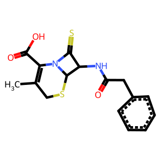 CC1=C(C(=O)O)N2C(=S)C(NC(=O)Cc3ccccc3)C2SC1